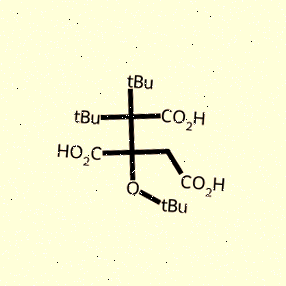 CC(C)(C)OC(CC(=O)O)(C(=O)O)C(C(=O)O)(C(C)(C)C)C(C)(C)C